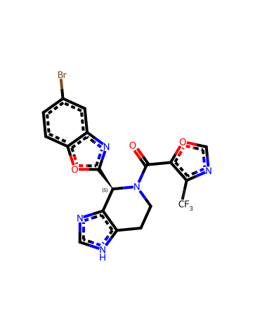 O=C(c1ocnc1C(F)(F)F)N1CCc2[nH]cnc2[C@H]1c1nc2cc(Br)ccc2o1